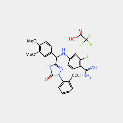 COc1ccc(C(Nc2ccc(C(=N)N)c(F)c2)c2nn(-c3ccccc3C(=O)O)c(=O)[nH]2)cc1OC.O=C(O)C(F)(F)F